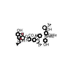 CC(=O)Nc1ccc(O)cc1.CC(CN1c2ccccc2Sc2ccccc21)N(C)C.COc1cccc([C@@]2(O)CCCC[C@@H]2CN(C)C)c1.O=C(O)c1cccnc1.O=C1CC[C@@]2(O)[C@H]3Cc4ccc(O)c5c4[C@@]2(CCN3CC2CC2)[C@H]1O5